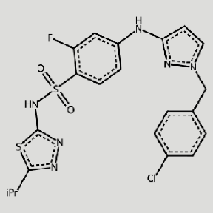 CC(C)c1nnc(NS(=O)(=O)c2ccc(Nc3ccn(Cc4ccc(Cl)cc4)n3)cc2F)s1